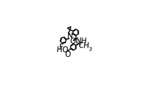 C[C@H](NC(=O)c1cccc2c1N(Cc1cccc(F)c1)CC21CC1)c1ccc(C(=O)O)cc1